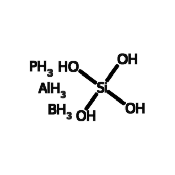 B.O[Si](O)(O)O.P.[AlH3]